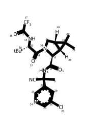 CC(C#N)(NC(=O)[C@@H]1[C@@H]2[C@H](CN1C(=O)[C@@H](NC(=O)C(F)(F)F)C(C)(C)C)C2(C)C)c1cncc(Cl)c1